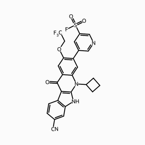 N#Cc1ccc2c(c1)[nH]c1c2c(=O)c2cc(OCC(F)(F)F)c(-c3cncc(S(=O)(=O)F)c3)cc2n1C1CCC1